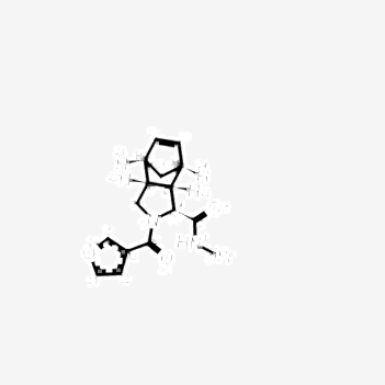 CC(C)NC(=O)[C@@H]1[C@@H]2[C@H](CN1C(=O)c1ccoc1)[C@@H]1C=C[C@H]2C1